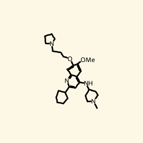 COc1cc2c(NC3CCN(C)CC3)cc(C3CCCCC3)nc2cc1OCCCN1CCCC1